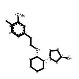 COc1cc(CCO[C@H]2CCCC[C@H]2N2CC[C@@H](O)C2)ccc1C